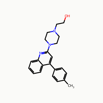 Cc1ccc(-c2cc(N3CCN(CCO)CC3)nc3ccccc23)cc1